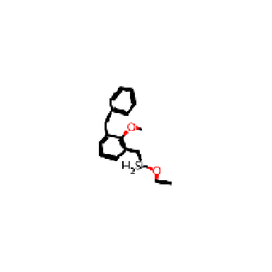 CCO[SiH2]Cc1cccc(Cc2ccccc2)c1OC